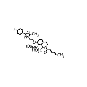 CC(C)(C)N.CC=CC=CC(=O)N1CCc2ccc(OCCc3nc(-c4ccc(F)cc4)oc3C)cc2C1C(=O)O